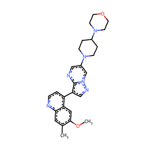 COc1cc2c(-c3cnn4cc(N5CCC(N6CCOCC6)CC5)cnc34)ccnc2cc1C